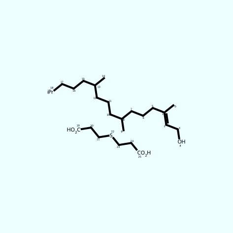 CC(=CCO)CCCC(C)CCCC(C)CCCC(C)C.O=C(O)CCSCCC(=O)O